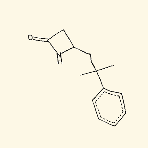 CC(C)(CC1CC(=O)N1)c1ccccc1